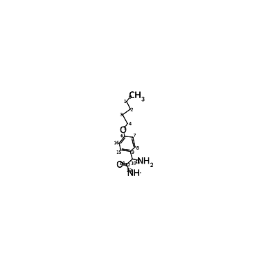 CCCCCOc1ccc(C(N)C([NH])=O)cc1